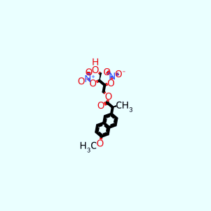 COc1ccc2cc([C@H](C)C(=O)OCC(O[N+](=O)[O-])[C@H](CO)O[N+](=O)[O-])ccc2c1